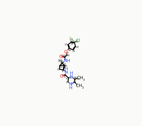 CC1NCC(C(=O)NC23CC(C2)[C@@H](NC(=O)COc2ccc(Cl)c(F)c2)C3)NC1C